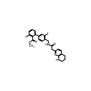 COC(=O)c1c(F)cccc1-c1ccc(CNC(=O)Cc2ccc3c(n2)NCCC3)c(F)c1